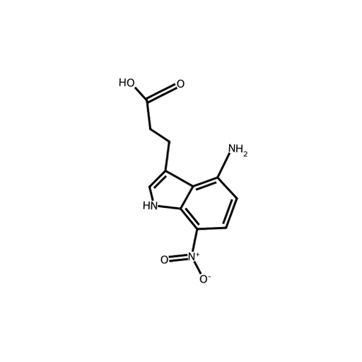 Nc1ccc([N+](=O)[O-])c2[nH]cc(CCC(=O)O)c12